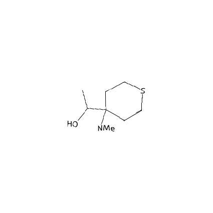 CNC1(C(C)O)CCSCC1